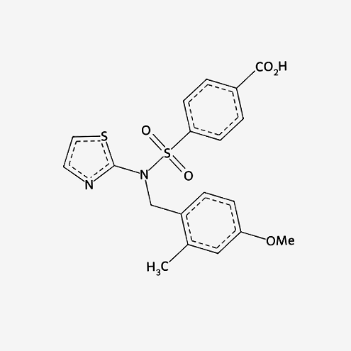 COc1ccc(CN(c2nccs2)S(=O)(=O)c2ccc(C(=O)O)cc2)c(C)c1